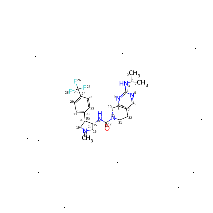 CC(C)Nc1ncc2c(n1)CN(C(=O)N[C@@H]1CN(C)C[C@H]1c1ccc(C(F)(F)F)cc1)CC2